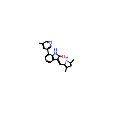 Cc1cncc(-c2cccc3c2NC(=O)/C3=C\c2[nH]c(C)cc2C)c1